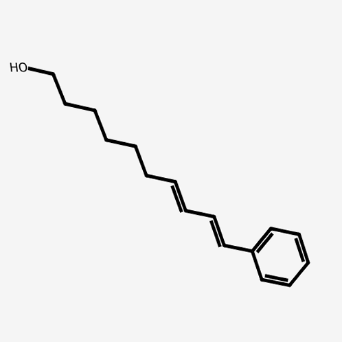 OCCCCCCC=CC=Cc1ccccc1